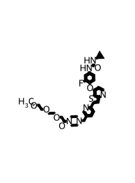 COCCOCCOCC(=O)N1CCN(Cc2ccc(-c3cc4nccc(Oc5ccc(NC(=O)NC6CC6)cc5F)c4s3)nc2)CC1